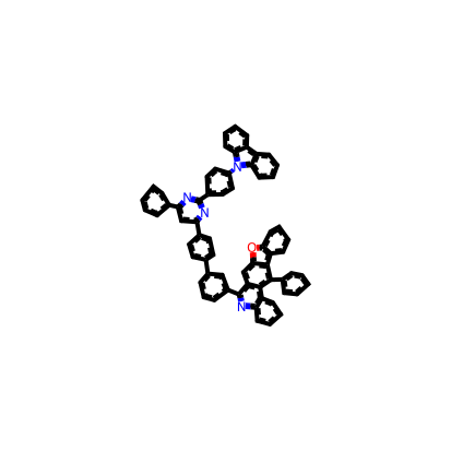 c1ccc(-c2cc(-c3ccc(-c4cccc(-c5nc6ccccc6c6c(-c7ccccc7)c7c(cc56)oc5ccccc57)c4)cc3)nc(-c3ccc(-n4c5ccccc5c5ccccc54)cc3)n2)cc1